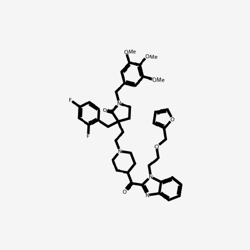 COc1cc(CN2CCC(CCN3CCC(C(=O)c4nc5ccccc5n4CCOCc4ccco4)CC3)(Cc3ccc(F)cc3F)C2=O)cc(OC)c1OC